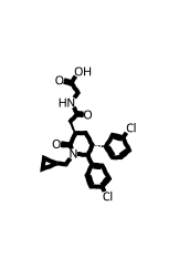 O=C(O)CNC(=O)C[C@H]1C[C@H](c2cccc(Cl)c2)C(c2ccc(Cl)cc2)N(CC2CC2)C1=O